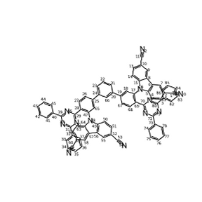 N#Cc1ccc2c(c1)c1cc(C#N)ccc1n2-c1cc(-c2cccc(-c3ccc(-c4nc(-c5ccccc5)nc(-c5ccccc5)n4)c(-n4c5ccc(C#N)cc5c5cc(C#N)ccc54)c3)c2)ccc1-c1nc(-c2ccccc2)nc(-c2ccccc2)n1